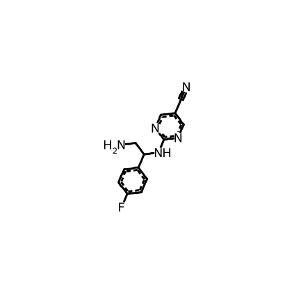 N#Cc1cnc(NC(CN)c2ccc(F)cc2)nc1